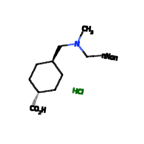 CCCCCCCCCCN(C)C[C@H]1CC[C@H](C(=O)O)CC1.Cl